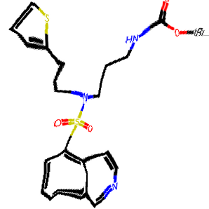 CC(C)(C)OC(=O)NCCCN(CCc1cccs1)S(=O)(=O)c1cccc2cnccc12